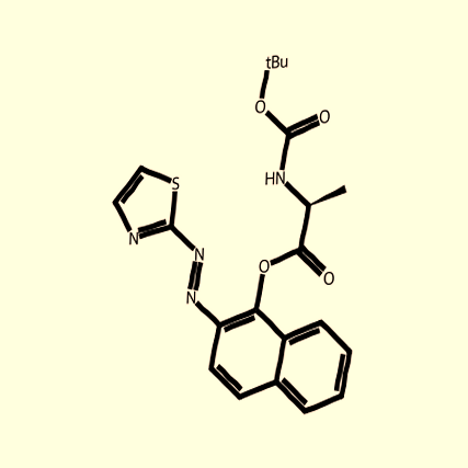 C[C@H](NC(=O)OC(C)(C)C)C(=O)Oc1c(N=Nc2nccs2)ccc2ccccc12